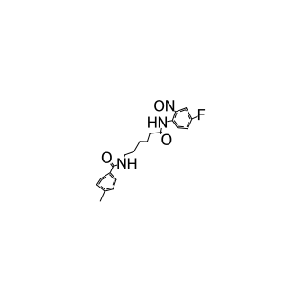 Cc1ccc(C(=O)NCCCCCC(=O)Nc2ccc(F)cc2N=O)cc1